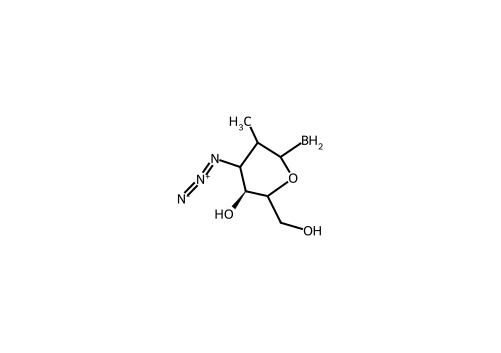 BC1OC(CO)[C@@H](O)C(N=[N+]=[N-])C1C